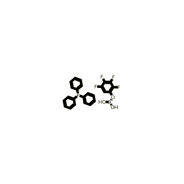 OB(O)Oc1cc(F)c(F)c(F)c1F.c1ccc(P(c2ccccc2)c2ccccc2)cc1